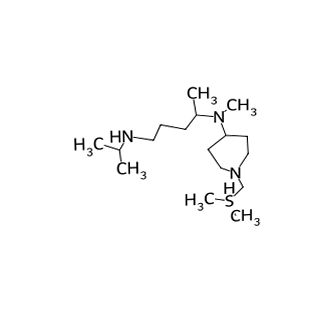 CC(C)NCCCC(C)N(C)C1CCN(C[SH](C)C)CC1